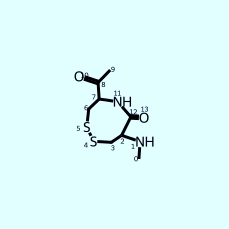 CNC1CSSCC(C(C)=O)NC1=O